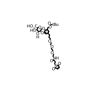 CC(C)(C)C(=O)OCc1cc(CCCOCCOCCOCCNC(=O)CCN2C(=O)C=CC2=O)ccc1O[C@@H]1O[C@H](C(=O)O)[C@@H](O)[C@H](O)[C@@H]1O